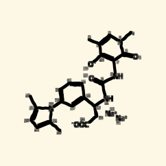 Cc1cn(C)c(=O)c(NC(=O)N[C@@H](CC(=O)[O-])c2cccc(-n3c(C)ccc3C)c2)c1[O-].[Na+].[Na+]